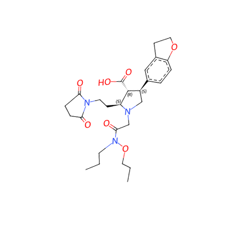 CCCON(CCC)C(=O)CN1C[C@H](c2ccc3c(c2)CCO3)[C@@H](C(=O)O)[C@@H]1CCN1C(=O)CCC1=O